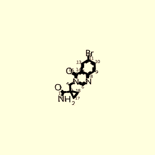 NC(=O)C1(Cn2cnc3ccc(Br)cc3c2=O)CC1